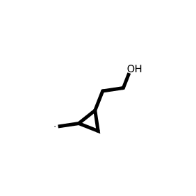 [CH2]C1CC1CCO